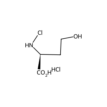 Cl.O=C(O)[C@H](CCO)NCl